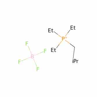 CC[P+](CC)(CC)CC(C)C.F[B-](F)(F)F